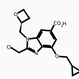 O=C(O)c1cc(OCC2CC2)c2nc(CCl)n(C[C@@H]3CCO3)c2c1